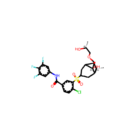 C[C@@H](O)COC[C@@]1(O)C2CC(S(=O)(=O)c3cc(C(=O)Nc4cc(F)c(F)c(F)c4)ccc3Cl)CC1[C@@H](C)C2